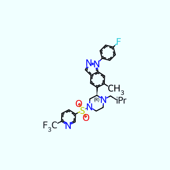 Cc1cc2c(cnn2-c2ccc(F)cc2)cc1[C@@H]1CN(S(=O)(=O)c2ccc(C(F)(F)F)nc2)CCN1CC(C)C